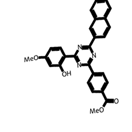 COC(=O)c1ccc(-c2nc(-c3ccc4ccccc4c3)nc(-c3ccc(OC)cc3O)n2)cc1